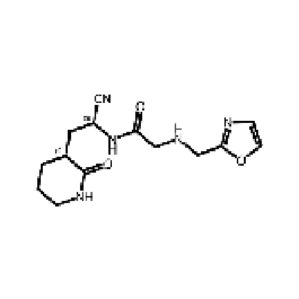 N#C[C@H](C[C@@H]1CCCNC1=O)NC(=O)CNCc1ncco1